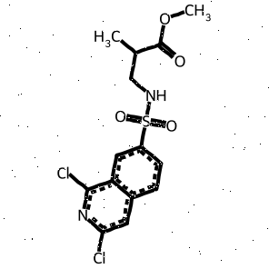 COC(=O)C(C)CNS(=O)(=O)c1ccc2cc(Cl)nc(Cl)c2c1